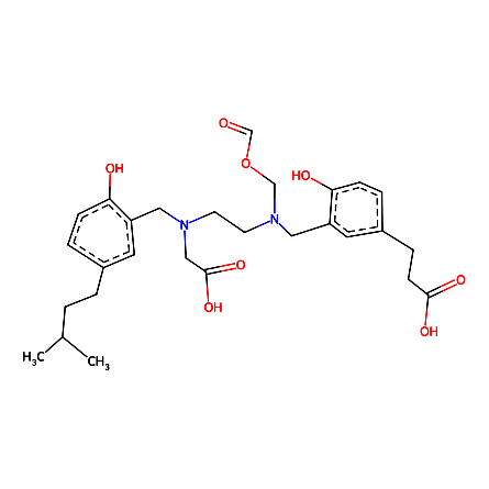 CC(C)CCc1ccc(O)c(CN(CCN(COC=O)Cc2cc(CCC(=O)O)ccc2O)CC(=O)O)c1